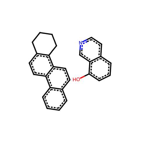 Oc1cccc2ccncc12.c1ccc2c(c1)ccc1c3c(ccc12)CCCC3